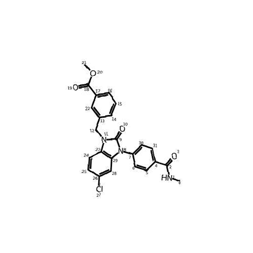 CNC(=O)c1ccc(-n2c(=O)n(Cc3cccc(C(=O)OC)c3)c3ccc(Cl)cc32)cc1